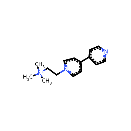 C[N+](C)(C)CC[n+]1ccc(-c2ccncc2)cc1